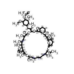 CO[C@H]1C[C@@H]2CC[C@@H](C)C(O)(O2)C(=O)C(=O)N2CCCCC2C(=O)O[C@H]([C@H](C)C[C@@H]2CC[C@@H](OP(C)(C)=O)[C@H](OC)C2)CC(=O)[C@H](C)/C=C(\C)[C@@H](O)[C@@H](OC)C(=O)[C@H](C)C[C@H](C)/C=C/C=C/C=C/1C